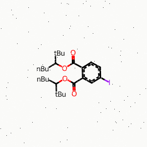 CCCCC(OC(=O)c1ccc(I)cc1C(=O)OC(CCCC)C(C)(C)C)C(C)(C)C